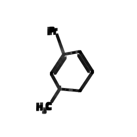 C[C]1C=C(C(C)C)C=CC1